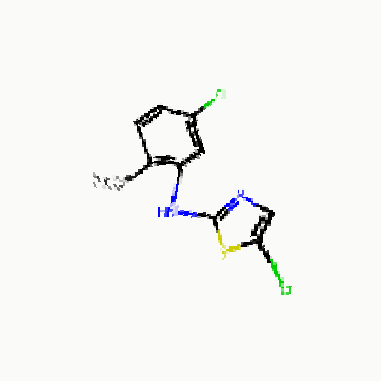 CC(=O)Oc1ccc(Cl)cc1Nc1ncc(Cl)s1